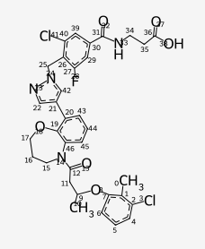 Cc1c(Cl)cccc1OC(C)CC(=O)N1CCCOc2c(-c3cnn(Cc4c(F)cc(C(=O)NCCC(=O)O)cc4Cl)c3)cccc21